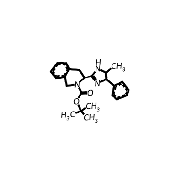 CC1NC([C@@H]2Cc3ccccc3CN2C(=O)OC(C)(C)C)=NC1c1ccccc1